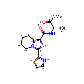 CNC(=O)[C@@H](NC(=O)c1nc(-c2nccs2)n2c1CCCC2)C(C)(C)C